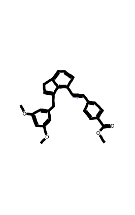 COC(=O)c1ccc(/C=C/c2cccc3c2C(Cc2cc(OC)cc(OC)c2)=CC3)cc1